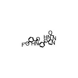 O=C(Nc1cccc(Oc2ccnc3ncc(=O)[nH]c23)c1)c1cccc(OCF)c1